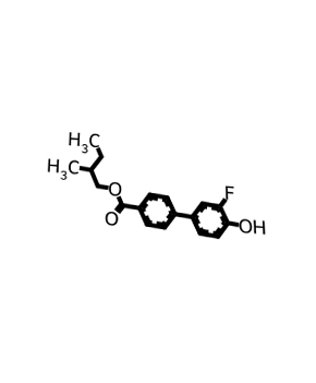 CCC(C)COC(=O)c1ccc(-c2ccc(O)c(F)c2)cc1